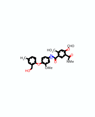 CNC(=O)c1cc(C(=O)Nc2ccc(Oc3ccc(C)cc3CO)c(OC)c2)c(C(=O)O)cc1OC=O